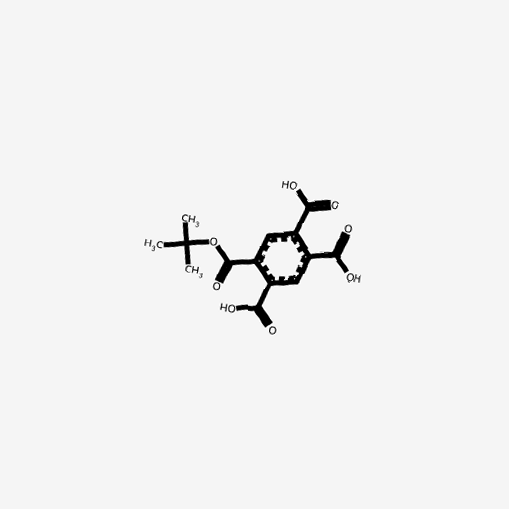 CC(C)(C)OC(=O)c1cc(C(=O)O)c(C(=O)O)cc1C(=O)O